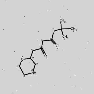 CC(C)(C)OC(=O)CC(=O)CC1CNCCO1